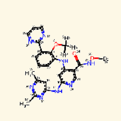 [2H]C([2H])([2H])Oc1c(Nc2cc(Nc3cc(C)nc(C)n3)ncc2C(=O)NOCC)cccc1-c1ncccn1